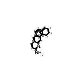 Nc1ccc2cc3c(cc2n1)C12CC=CC=C1C(=C3)NCC2